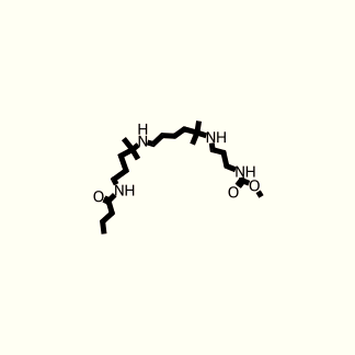 CCCC(=O)NCCCC(C)(C)NCCCCC(C)(C)NCCCNC(=O)OC